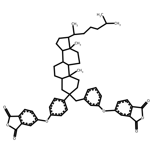 CC(C)CCCC(C)C1CCC2C3CCC4CC(Cc5cccc(Oc6ccc7c(c6)C(=O)OC7=O)c5)(c5ccc(Oc6ccc7c(c6)C(=O)OC7=O)cc5)CCC4(C)C3CCC12C